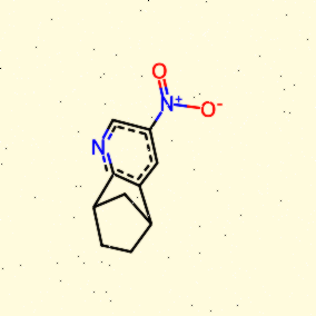 O=[N+]([O-])c1cnc2c(c1)C1CCC2C1